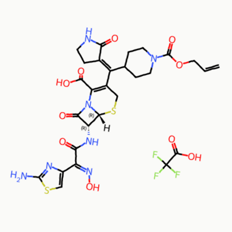 C=CCOC(=O)N1CCC(C(=C2CCNC2=O)C2=C(C(=O)O)N3C(=O)[C@@H](NC(=O)C(=NO)c4csc(N)n4)[C@H]3SC2)CC1.O=C(O)C(F)(F)F